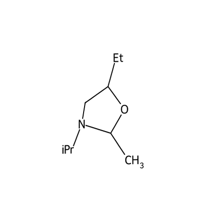 CCC1CN(C(C)C)C(C)O1